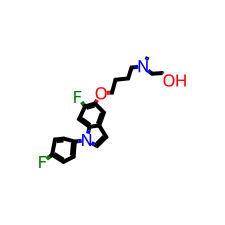 CN(CCO)CCCCOc1cc2ccn(-c3ccc(F)cc3)c2cc1F